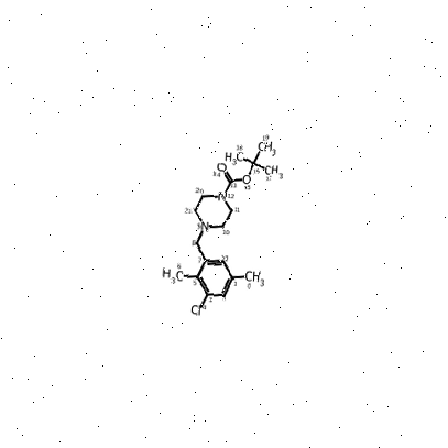 Cc1cc(Cl)c(C)c(CN2CCN(C(=O)OC(C)(C)C)CC2)c1